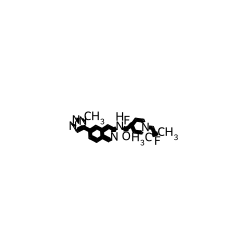 Cn1nncc1-c1ccc2cnc(NC(=O)C3(F)CCN(CC(C)(C)F)CC3)cc2c1